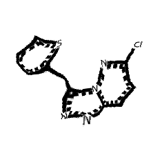 Clc1ccc2nnc(-c3cccs3)n2n1